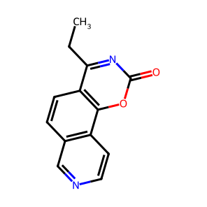 CCc1nc(=O)oc2c1ccc1cnccc12